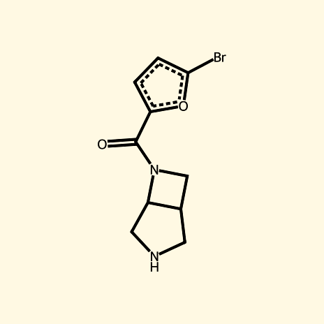 O=C(c1ccc(Br)o1)N1CC2CNCC21